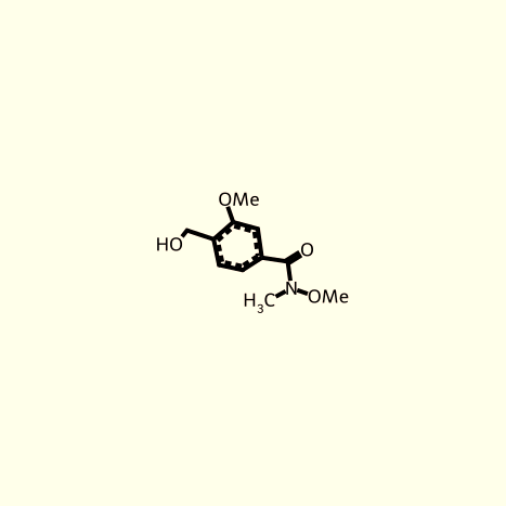 COc1cc(C(=O)N(C)OC)ccc1CO